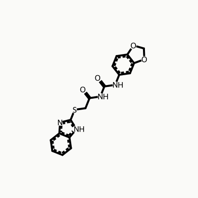 O=C(CSc1nc2ccccc2[nH]1)NC(=O)Nc1ccc2c(c1)OCO2